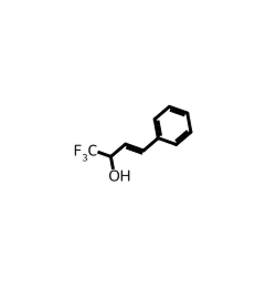 OC(/C=C/c1ccccc1)C(F)(F)F